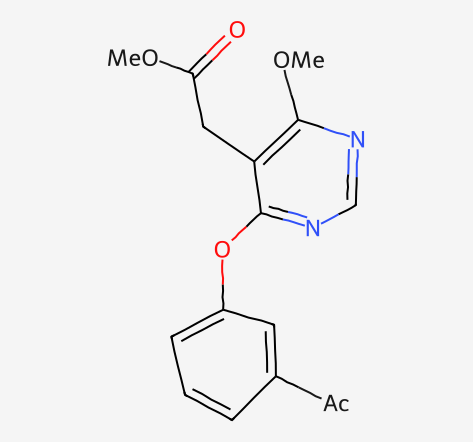 COC(=O)Cc1c(OC)ncnc1Oc1cccc(C(C)=O)c1